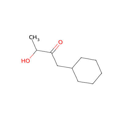 CC(O)C(=O)CC1CCCCC1